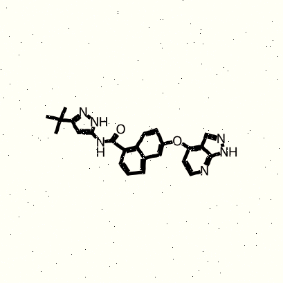 CC(C)(C)c1cc(NC(=O)c2cccc3cc(Oc4ccnc5[nH]ncc45)ccc23)[nH]n1